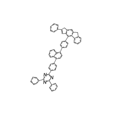 C1=C(c2ccccc2)Cc2cc3c(c(-c4ccc(-c5ccc(-c6ccc(-c7nc(-c8ccccc8)nc(-c8ccccc8)n7)cc6)c6ccccc56)cc4)c21)-c1ccccc1C3